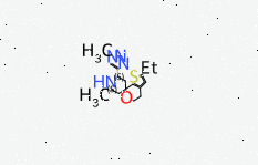 CCc1cc2c(s1)C1(C[C@@H](c3cn(C)nn3)N[C@@H](C)C1)OCC2